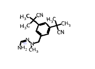 CN(Cc1cc(C(C)(C)C#N)cc(C(C)(C)C#N)c1)/N=C\N